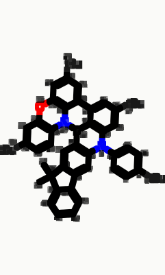 CC(C)(C)c1ccc(N2c3cc4c(cc3B3c5c(cc(C(C)(C)C)cc52)-c2cc(C(C)(C)C)cc5c2N3c2ccc(C(C)(C)C)cc2O5)C(C)(C)c2ccccc2-4)cc1